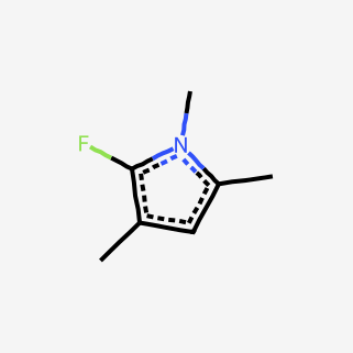 Cc1cc(C)n(C)c1F